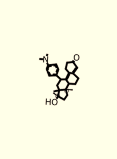 CN(C)c1ccc(C2CC3(C)[C@@](C)(O)CC[C@@]3(C)C3CCC4=CC(=O)CCC4=C23)cc1